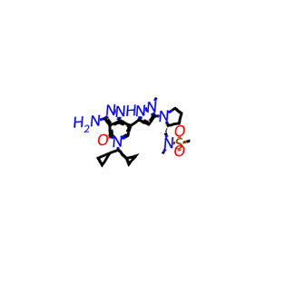 CN(C[C@H]1CCCN1c1cc(-c2cn(C(C3CC3)C3CC3)c(=O)c3c(N)n[nH]c23)nn1C)S(C)(=O)=O